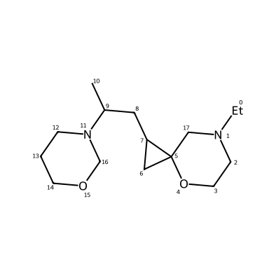 CCN1CCOC2(CC2CC(C)N2CCCOC2)C1